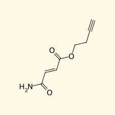 C#CCCOC(=O)/C=C/C(N)=O